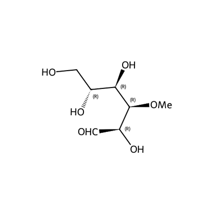 CO[C@H]([C@H](O)[C@H](O)CO)[C@@H](O)C=O